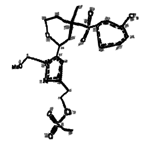 COCn1nc(CCOS(C)(=O)=O)cc1C1CC(C)(S(=O)(=O)c2cccc(C(F)(F)F)c2)CCO1